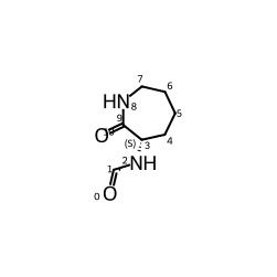 O=[C]N[C@H]1CCCCNC1=O